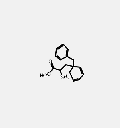 COC(=O)C(N)CC1(Cc2ccccc2)C=CC=CC1